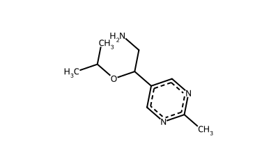 Cc1ncc(C(CN)OC(C)C)cn1